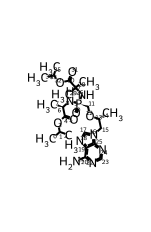 CC(C)OC(=O)[C@@H](C)N[P@](=O)(CO[C@H](C)Cn1cnc2c(N)ncnc21)NC(C)(C)C(=O)OC(C)C